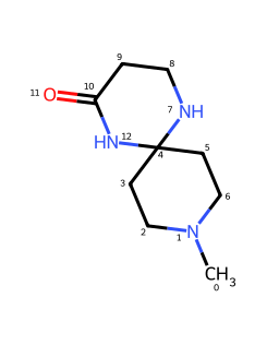 CN1CCC2(CC1)NCCC(=O)N2